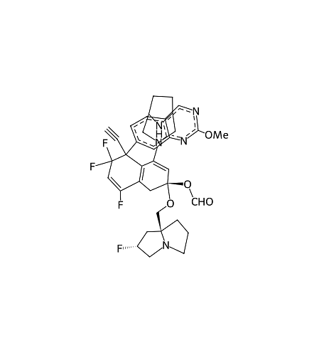 C#CC1(c2ccc3cnc(OC)nc3c2)C2=C(C[C@@](OC=O)(OC[C@@]34CCCN3C[C@H](F)C4)C=C2N2CC3CCC(C2)N3)C(F)=CC1(F)F